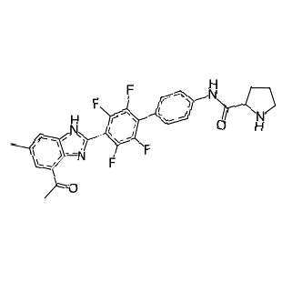 CC(=O)c1cc(C)cc2[nH]c(-c3c(F)c(F)c(-c4ccc(NC(=O)C5CCCN5)cc4)c(F)c3F)nc12